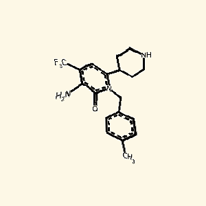 Cc1ccc(Cn2c(C3CCNCC3)cc(C(F)(F)F)c(N)c2=O)cc1